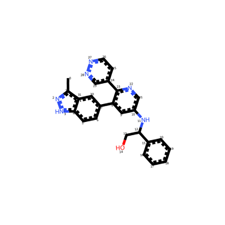 Cc1n[nH]c2ccc(-c3cc(NC(CO)c4ccccc4)cnc3-c3ccnnc3)cc12